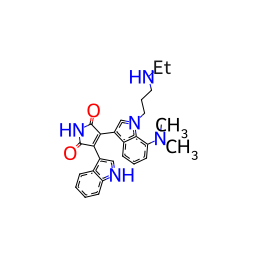 CCNCCCn1cc(C2=C(c3c[nH]c4ccccc34)C(=O)NC2=O)c2cccc(N(C)C)c21